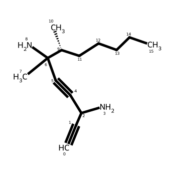 C#CC(N)C#CC(C)(N)[C@H](C)CCCCC